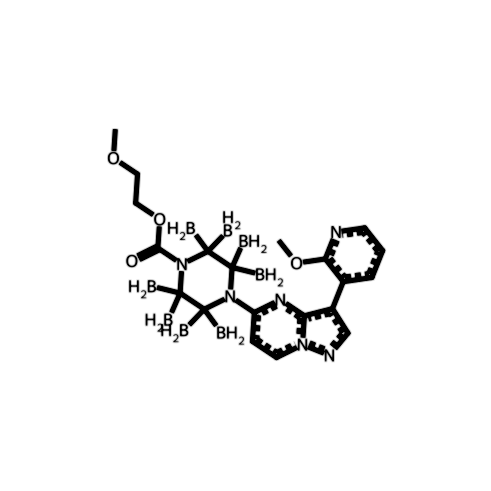 BC1(B)N(C(=O)OCCOC)C(B)(B)C(B)(B)N(c2ccn3ncc(-c4cccnc4OC)c3n2)C1(B)B